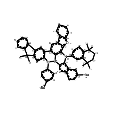 CC(C)(C)c1ccc(N2B3c4sc5ccc(C(C)(C)C)cc5c4N(c4ccc5c(c4)C(C)(C)CCC5(C)C)c4c3c(cc3c4oc4ccccc43)-c3cc4c(cc32)C(C)(C)c2ccccc2-4)cc1